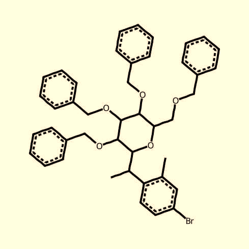 Cc1cc(Br)ccc1C(C)C1OC(COCc2ccccc2)C(OCc2ccccc2)C(OCc2ccccc2)C1OCc1ccccc1